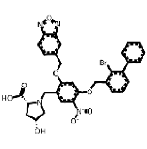 O=C(O)[C@H]1C[C@@H](O)CN1Cc1cc([N+](=O)[O-])c(OCc2cccc(-c3ccccc3)c2Br)cc1OCc1ccc2nonc2c1